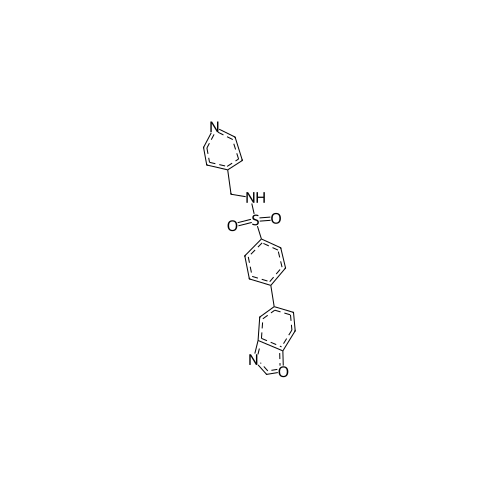 O=S(=O)(NCc1ccncc1)c1ccc(-c2ccc3ocnc3c2)cc1